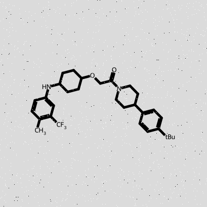 Cc1ccc(NC2CCC(OCC(=O)N3CCC(c4ccc(C(C)(C)C)cc4)CC3)CC2)cc1C(F)(F)F